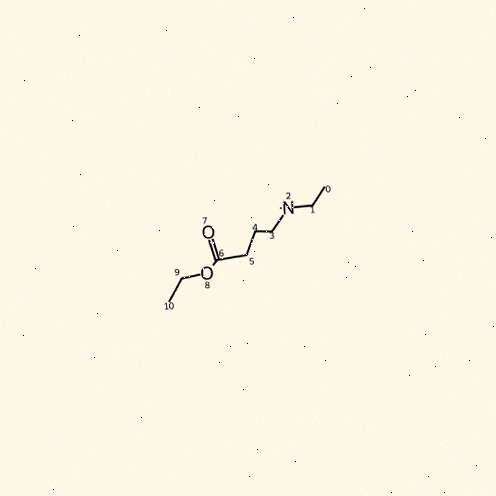 CC[N]CCCC(=O)OCC